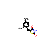 COc1ccc(C=C2SC(=O)NC2=O)c(OC)c1